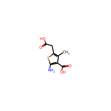 Cc1c(CC(=O)O)sc(N)c1C(=O)O